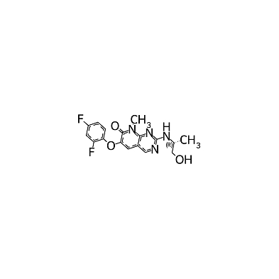 C[C@H](CO)Nc1ncc2cc(Oc3ccc(F)cc3F)c(=O)n(C)c2n1